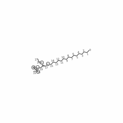 CCCCCCCCCCCCCCCCOCC(COS(C)(=O)=O)OCC